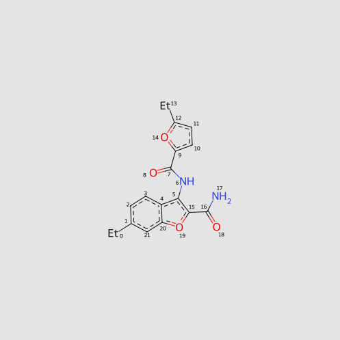 CCc1ccc2c(NC(=O)c3ccc(CC)o3)c(C(N)=O)oc2c1